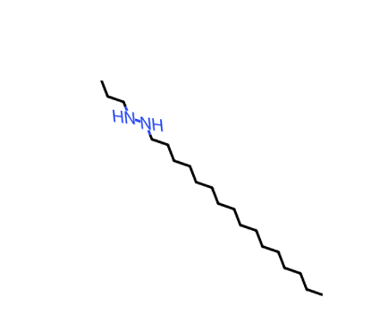 CCCCCCCCCCCCCCCCNNCCC